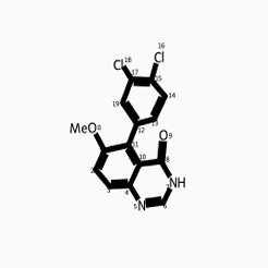 COc1ccc2nc[nH]c(=O)c2c1-c1ccc(Cl)c(Cl)c1